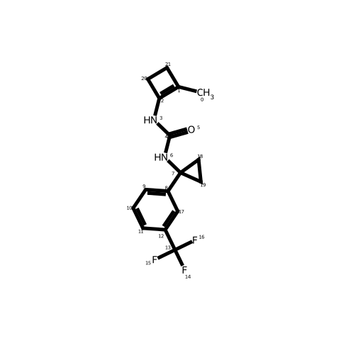 CC1=C(NC(=O)NC2(c3cccc(C(F)(F)F)c3)CC2)CC1